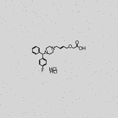 Cl.Cl.O=C(O)COC/C=C/CN1CCN([C@H](c2ccccc2)c2ccc(F)cc2)CC1